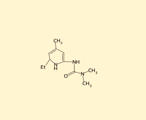 CCC1C=C(C)C=C(NC(=O)N(C)C)N1